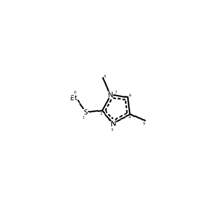 CCSc1nc(C)cn1C